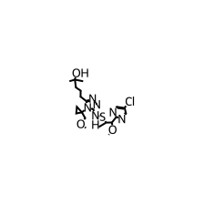 COCC1(n2c(CCCC(C)(C)O)nnc2NSC(C)C(OC)c2ncc(Cl)cn2)CC1